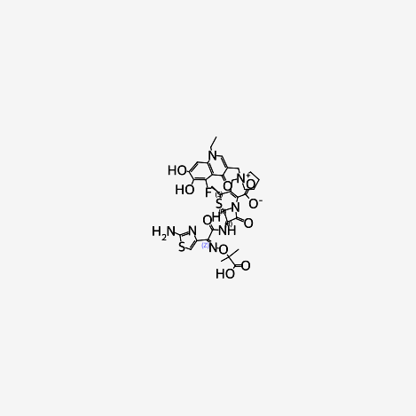 CCn1cc(C[N+]2(CC3=C(C(=O)[O-])N4C(=O)[C@@H](NC(=O)/C(=N\OC(C)(C)C(=O)O)c5csc(N)n5)[C@H]4S[C@H]3C)CCCC2)c(=O)c2c(F)c(O)c(O)cc21